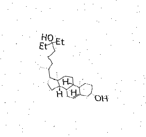 CCC(O)(CC)CCC[C@@H](C)[C@H]1CC[C@H]2[C@@H]3CC=C4C[C@@H](O)CC[C@]4(C)[C@H]3CC[C@]12C